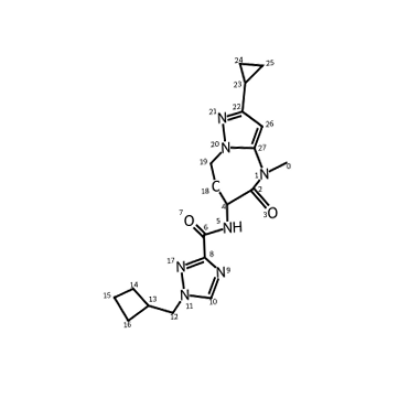 CN1C(=O)C(NC(=O)c2ncn(CC3CCC3)n2)CCn2nc(C3CC3)cc21